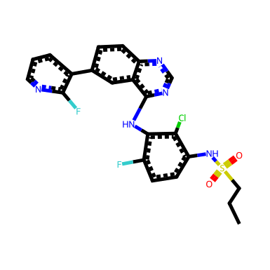 CCCS(=O)(=O)Nc1ccc(F)c(Nc2ncnc3ccc(-c4cccnc4F)cc23)c1Cl